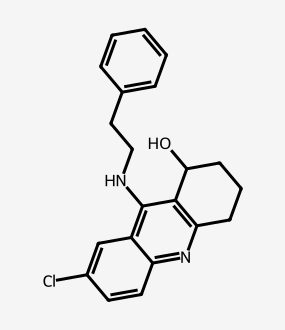 OC1CCCc2nc3ccc(Cl)cc3c(NCCc3ccccc3)c21